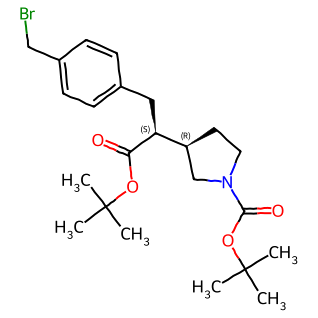 CC(C)(C)OC(=O)[C@@H](Cc1ccc(CBr)cc1)[C@H]1CCN(C(=O)OC(C)(C)C)C1